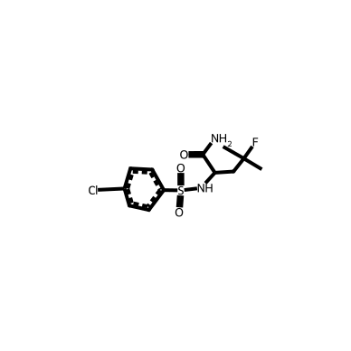 CC(C)(F)CC(NS(=O)(=O)c1ccc(Cl)cc1)C(N)=O